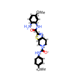 COc1ccc(NC(=O)N2CCc3nc(C(=O)Nc4cc(OC)ccc4N)sc3C2)cc1